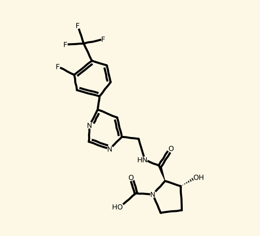 O=C(NCc1cc(-c2ccc(C(F)(F)F)c(F)c2)ncn1)[C@H]1[C@H](O)CCN1C(=O)O